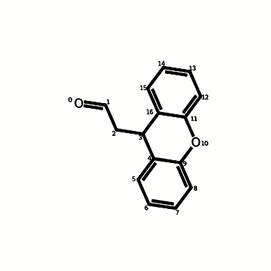 O=CCC1c2ccccc2Oc2ccccc21